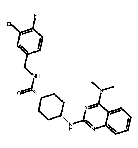 CN(C)c1nc(N[C@H]2CC[C@@H](C(=O)NCc3ccc(F)c(Cl)c3)CC2)nc2ccccc12